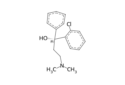 CN(C)CC[C@@](O)(c1ccccc1)c1ccccc1Cl